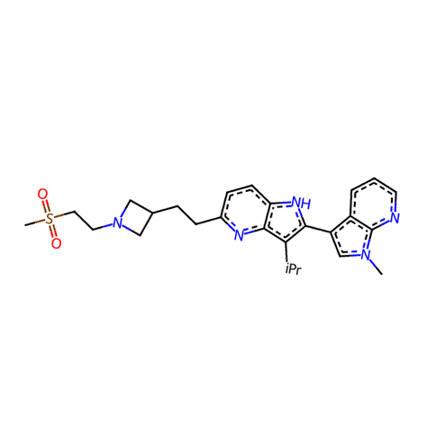 CC(C)c1c(-c2cn(C)c3ncccc23)[nH]c2ccc(CCC3CN(CCS(C)(=O)=O)C3)nc12